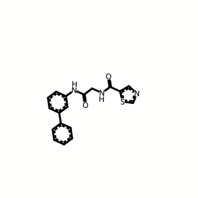 O=C(CNC(=O)c1cncs1)Nc1cccc(-c2ccccc2)c1